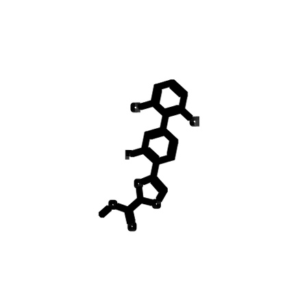 COC(=O)C1OC=C(c2ccc(-c3c(Cl)cccc3Cl)cc2F)O1